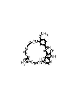 COc1ccc2cc1OCCCCCCC(=O)N(C)CCCNc1ncnc3c1/C(=C/N2)C(=O)N3